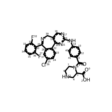 O=C(O)C1CNCCN1C(=O)c1ccc(Nc2ncc3c(n2)-c2ccc(Cl)cc2C(c2c(F)cccc2F)=NC3)cc1